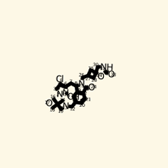 Cn1ncc(Cl)c1CC1c2cc(CN3CC4(COC4)C3)ccc2C(=O)N1CC1CC2(CNC(=O)O2)C1